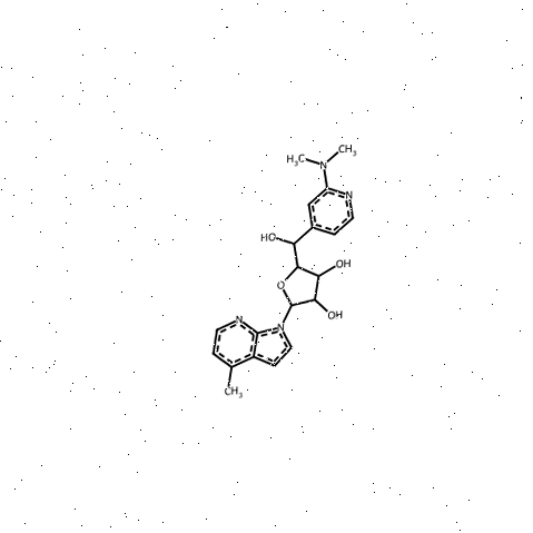 Cc1ccnc2c1ccn2C1OC(C(O)c2ccnc(N(C)C)c2)C(O)C1O